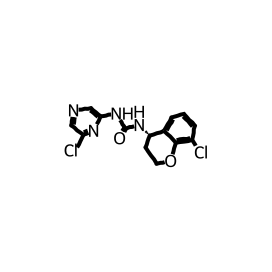 O=C(Nc1cncc(Cl)n1)N[C@H]1CCOc2c(Cl)cccc21